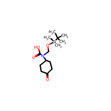 CC(C)(C)[Si](C)(C)OCN(C(=O)O)C1CCC(=O)CC1